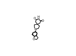 O=C1CC2(CCN(c3ccc4c(c3)CCO4)CC2)CC(=O)N1